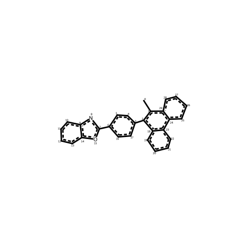 Cc1c(-c2ccc(-c3nc4ccccc4o3)cc2)c2ccccc2c2ccccc12